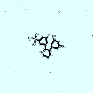 NS(=O)(=O)c1cc(F)cc(-c2ncccc2-c2cc(F)cc(F)c2)c1